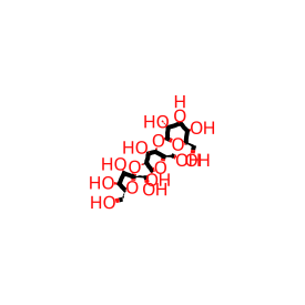 OC[C@H]1O[C@@H](O[C@H]2[C@H](O)[C@@H](O[C@]3(CO)O[C@H](CO)[C@@H](O)[C@@H]3O)[C@@H](O)O[C@@H]2CO)[C@H](O)[C@@H](O)[C@H]1O